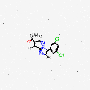 COC(=O)c1cnn2c(-c3cc(Cl)cc(Cl)c3)c(C(C)=O)nc2c1C(C)C